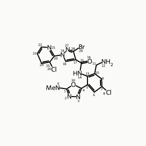 CNc1nnc(-c2cc(Cl)cc(CN)c2NC(=O)c2cn(-c3ncccc3Cl)nc2Br)o1